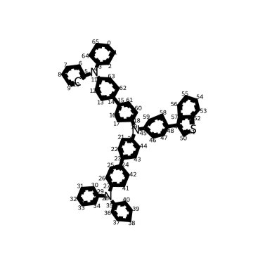 c1ccc(N(c2ccccc2)c2ccc(-c3ccc(N(c4ccc(-c5ccc(N(c6ccccc6)c6ccccc6)cc5)cc4)c4ccc(-c5csc6ccccc56)cc4)cc3)cc2)cc1